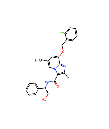 Cc1nc2c(OCc3ccccc3F)cc(C(=O)O)cn2c1C(=O)N[C@@H](CO)c1ccccc1